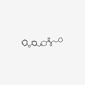 O=C(CCC1CCCC1)NC1CCN(Cc2cccc(Oc3ccccc3)c2)CC1